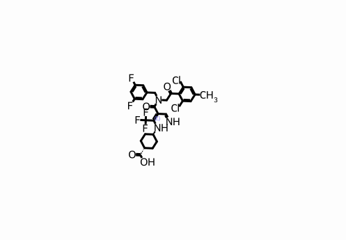 Cc1cc(Cl)c(C(=O)CN(Cc2cc(F)cc(F)c2)C(=O)/C(C=N)=C(/N[C@H]2CC[C@H](C(=O)O)CC2)C(F)(F)F)c(Cl)c1